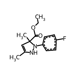 CCOC(=O)C1(C)C=C(C)NN1c1ccc(F)cc1